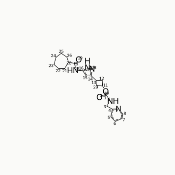 O=C(NCc1ccccn1)OC1CC(c2cc(NC(=O)C3CCCCCC3)[nH]n2)C1